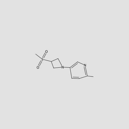 Cc1ccc(N2CC(S(C)(=O)=O)C2)cn1